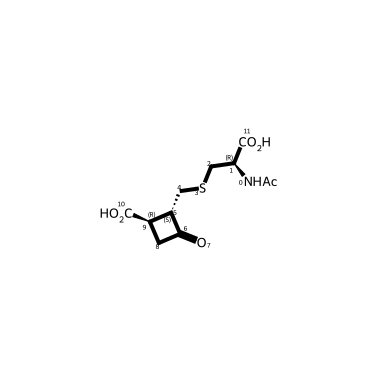 CC(=O)N[C@@H](CSC[C@@H]1C(=O)C[C@H]1C(=O)O)C(=O)O